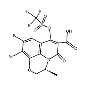 C[C@H]1COc2c(Br)c(F)cc3c(OS(=O)(=O)C(F)(F)F)c(C(=O)O)c(=O)n1c23